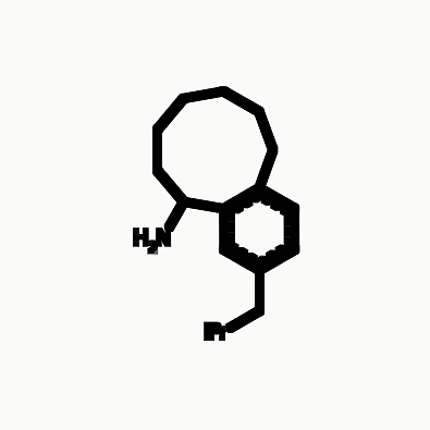 CC(C)Cc1ccc2c(c1)C(N)CCCCCC2